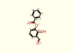 O=Cc1cccc(OC(=O)c2ccccc2)c1O